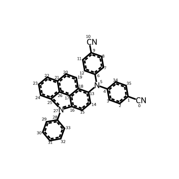 N#Cc1ccc(N(c2ccc(C#N)cc2)c2ccc3c4c2ccc2cccc(c24)n3-c2ccccc2)cc1